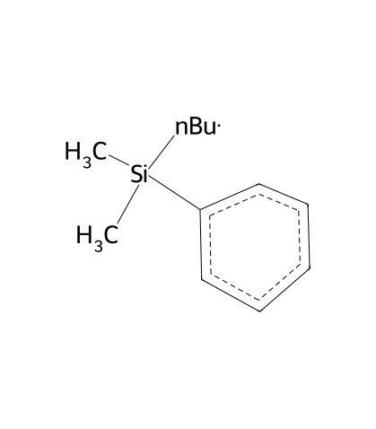 CCC[CH][Si](C)(C)c1ccccc1